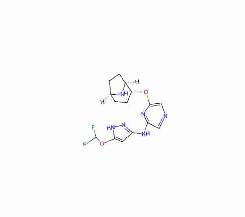 FC(F)Oc1cc(Nc2cncc(O[C@@H]3CC[C@H]4CC[C@@H]3N4)n2)n[nH]1